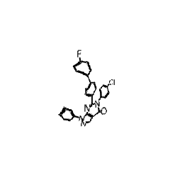 O=c1c2cnn(-c3ccccc3)c2nc(-c2ccc(-c3ccc(F)cc3)cc2)n1-c1ccc(Cl)cc1